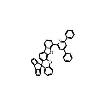 c1ccc(-c2cc(-c3ccccc3)nc(-c3cccc4c3oc3c5c(ccc34)C3(c4ccccc4O5)c4ccccc4-c4ccccc43)c2)cc1